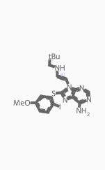 COc1ccc(I)c(Sc2nc3c(N)ncnc3n2/C=C/NCC(C)(C)C)c1